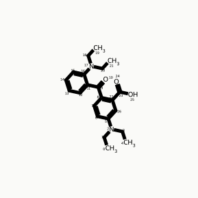 CCN(CC)c1ccc(C(=O)c2ccccc2N(CC)CC)c(C(=O)O)c1